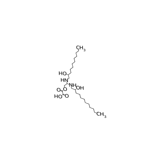 CCCCCCCCCCC(O)CNC(COC(=O)C(=O)O)NCC(O)CCCCCCCCCC